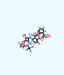 Cc1ccc([C@H](Nc2c(Nc3ccc(F)c4c3C(C)(O)N(c3ccc(F)cc3C(=O)O)C4)c(=O)c2=O)C(C)(C)C)o1